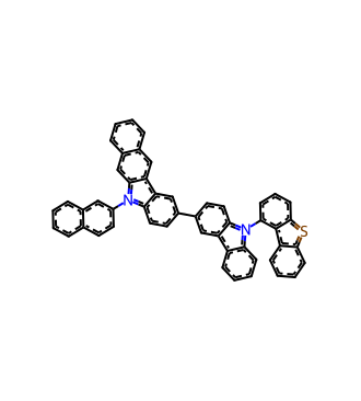 c1ccc2cc(-n3c4ccc(-c5ccc6c(c5)c5ccccc5n6-c5cccc6sc7ccccc7c56)cc4c4cc5ccccc5cc43)ccc2c1